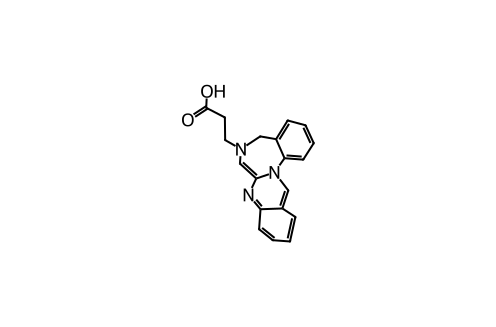 O=C(O)CCN1C=C2N=c3ccccc3=CN2c2ccccc2C1